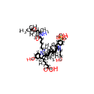 CC1/C(=C\C(C)(C)/C=C/C(C)(C)C2=[N+](CCCCCC(=O)NC(C)(C)CCOC(C)(C)C)c3ccc(O)cc3C2(C)CCCCCC(=O)O)N(CCCO)c2ccc(S(=O)(=O)O)cc21